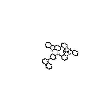 c1ccc2c(-c3ccc(N(c4cccc5c4sc4ccccc45)c4cccc5c6c7ccccc7n7c8ccccc8n(c45)c67)cc3)cccc2c1